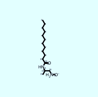 CCCCCCCCCCCC(=O)NC(C)C[NH2+][O-]